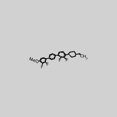 C=CC1CCC(c2ccc(-c3ccc(-c4ccc(OC)c(F)c4F)cc3)c(F)c2F)CC1